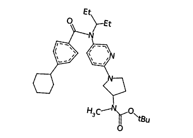 CCC(CC)N(C(=O)c1ccc(C2CCCCC2)cc1)c1ccc(N2CCC(N(C)C(=O)OC(C)(C)C)C2)nc1